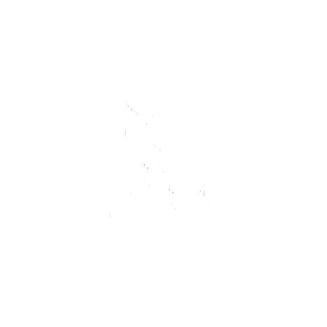 COc1ccc(NC(=O)c2cccc(C(C)(C)C#N)c2)cc1Oc1ccc([N+](=O)[O-])cn1